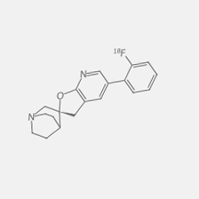 [18F]c1ccccc1-c1cnc2c(c1)C[C@@]1(CN3CCC1CC3)O2